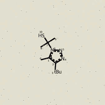 Cc1c(C(C)(C)C)nnn1C(C)(C)S